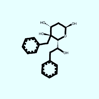 OC(Cc1ccccc1)[C@H]1O[C@H](O)C[C@@H](O)[C@@]1(O)Cc1ccccc1